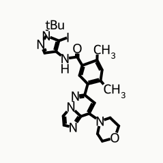 Cc1cc(C)c(-c2cc(N3CCOCC3)c3nccn3n2)cc1C(=O)Nc1cnn(C(C)(C)C)c1I